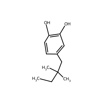 CCC(C)(C)Cc1ccc(O)c(O)c1